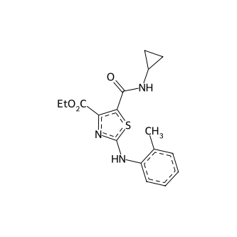 CCOC(=O)c1nc(Nc2ccccc2C)sc1C(=O)NC1CC1